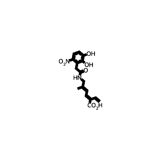 C=C/C(=C\C=C(/C)CNC(=O)Cc1c([N+](=O)[O-])ccc(O)c1O)C(=O)O